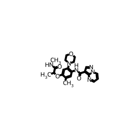 CNC(=O)C(C)Oc1cc(N2CCOCC2)c(NC(=O)c2cnn3cccnc23)cc1C